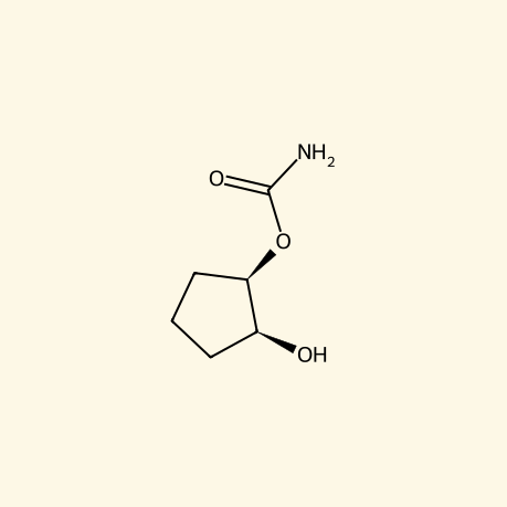 NC(=O)O[C@@H]1CCC[C@@H]1O